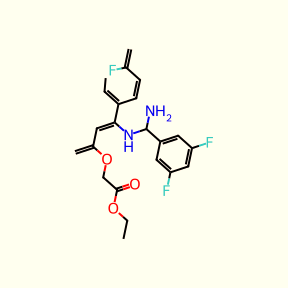 C=C(F)\C=C/C(=C\C)C(=C/C(=C)OCC(=O)OCC)/NC(N)c1cc(F)cc(F)c1